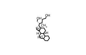 C[C@]12CC[C@H]3[C@@H](CCC4CCCC[C@@]43CO)[C@@H]1CC[C@@H]2[C@H](CO)CCCO